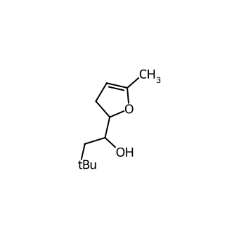 CC1=CCC(C(O)CC(C)(C)C)O1